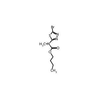 CCCCOC(=O)N(C)c1nnc(Br)s1